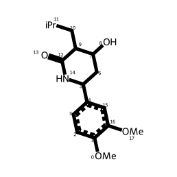 COc1ccc(C2CC(O)C(CC(C)C)C(=O)N2)cc1OC